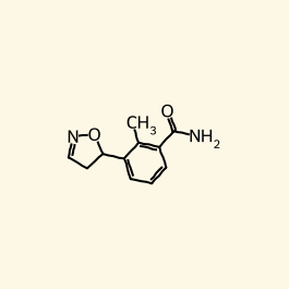 Cc1c(C(N)=O)cccc1C1CC=NO1